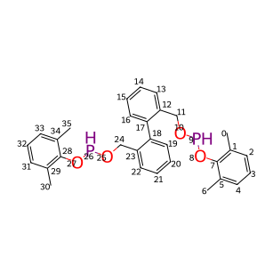 Cc1cccc(C)c1OPOCc1ccccc1-c1ccccc1COPOc1c(C)cccc1C